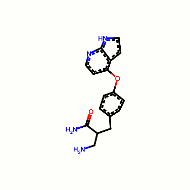 NCC(Cc1ccc(Oc2ccnc3[nH]ccc23)cc1)C(N)=O